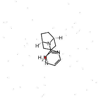 CC1(N)C[C@H]2CC[C@@H](C1)N2c1cnccn1